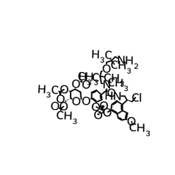 COc1ccc2c(OS(=O)(=O)Oc3cc(C(=O)N(C)CC(C)(C)COCC(C)(C)CN)ccc3O[C@H]3C[C@@H](OC(C)=O)[C@@H](OC(C)=O)[C@@H](COC(C)=O)O3)cc3c(c2c1)[C@H](CCl)CN3